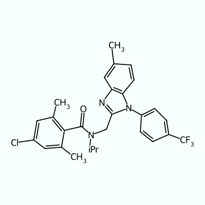 Cc1ccc2c(c1)nc(CN(C(=O)c1c(C)cc(Cl)cc1C)C(C)C)n2-c1ccc(C(F)(F)F)cc1